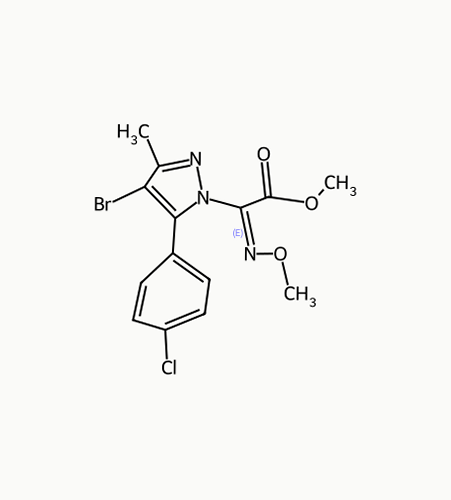 CO/N=C(\C(=O)OC)n1nc(C)c(Br)c1-c1ccc(Cl)cc1